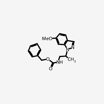 COc1ccc2cnn(C(C)CNC(=O)OCc3ccccc3)c2c1